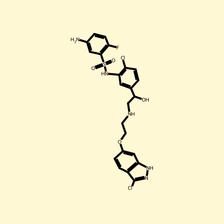 Nc1ccc(F)c(S(=O)(=O)Nc2cc(C(O)CNCCOc3ccc4c(Cl)n[nH]c4c3)ccc2Cl)c1